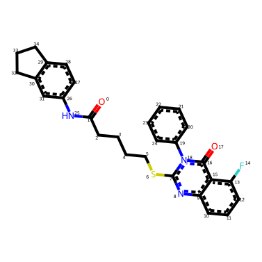 O=C(CCCCSc1nc2cccc(F)c2c(=O)n1-c1ccccc1)Nc1ccc2c(c1)CCC2